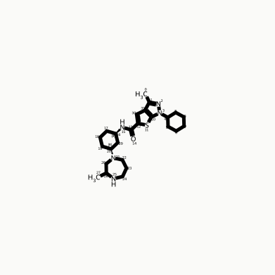 Cc1nn(C2CCCCC2)c2sc(C(=O)N[C@@H]3CCC[C@@H](N4CCCNC(C)C4)C3)cc12